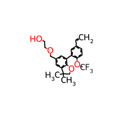 C=Cc1ccc(OC(F)(F)F)c(-c2cc(COCCO)cc3c2OCC3(C)C)c1